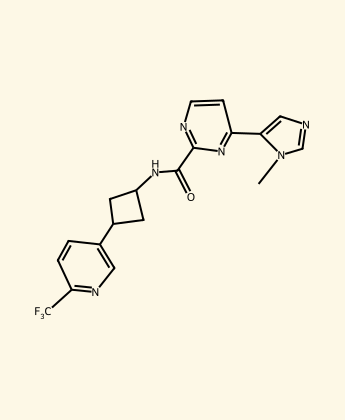 Cn1cncc1-c1ccnc(C(=O)NC2CC(c3ccc(C(F)(F)F)nc3)C2)n1